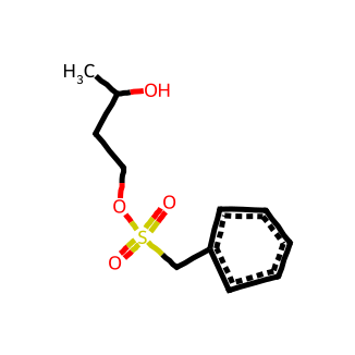 CC(O)CCOS(=O)(=O)Cc1ccccc1